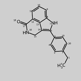 CCc1ccc(-c2[nH]c3cccc4c3c2CNC4=O)cc1